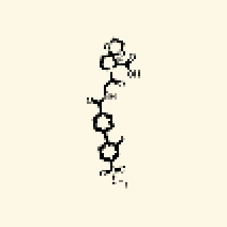 CS(=O)(=O)c1ccc(-c2ccc(C(=O)NCC(=O)N3CCC4(OCCO4)[C@H]3C(=O)O)cc2)c(F)c1